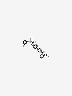 O=C(NCCc1cccc(F)c1)Oc1ccc(N2CCN(C(=O)c3ccccc3C(F)(F)F)CC2)nn1